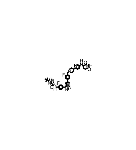 CC(C)(C)c1nc(C(=O)NCc2ccc(-c3ncnn4cc(-c5ccc(CN6CCC(c7ccc(NC8CCC(=O)NC8=O)cn7)CC6)c(F)c5)cc34)cc2F)no1